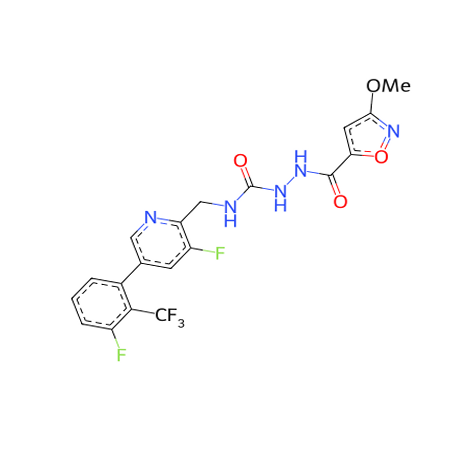 COc1cc(C(=O)NNC(=O)NCc2ncc(-c3cccc(F)c3C(F)(F)F)cc2F)on1